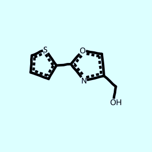 OCc1coc(-c2cccs2)n1